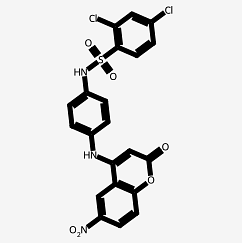 O=c1cc(Nc2ccc(NS(=O)(=O)c3ccc(Cl)cc3Cl)cc2)c2cc([N+](=O)[O-])ccc2o1